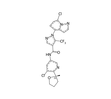 C[C@@]1(c2ncc(NC(=O)c3cnn(-c4ccc(Cl)n5nccc45)c3C(F)(F)F)cc2Cl)CCCO1